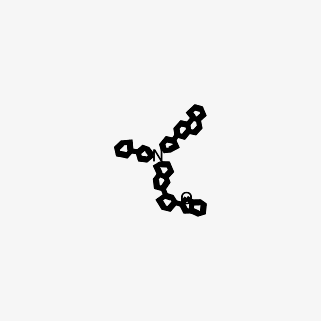 c1ccc(-c2ccc(N(c3ccc(-c4ccc5c(ccc6ccccc65)c4)cc3)c3ccc4cc(-c5cccc(-c6cc7ccccc7o6)c5)ccc4c3)cc2)cc1